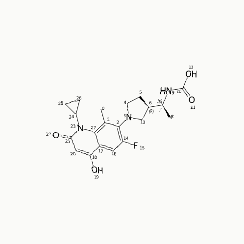 Cc1c(N2CC[C@@H]([C@H](C)NC(=O)O)C2)c(F)cc2c(O)cc(=O)n(C3CC3)c12